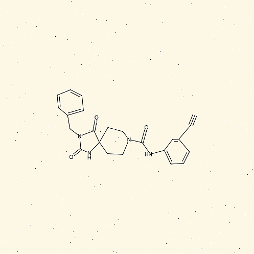 C#Cc1cccc(NC(=O)N2CCC3(CC2)NC(=O)N(Cc2ccccc2)C3=O)c1